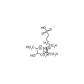 CCCS(=O)(=O)O.CS(=O)(=O)O.O=C(O)/C=C\C(=O)O.O=C(O)C(O)C(O)C(=O)O